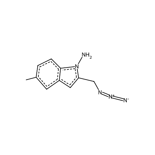 Cc1ccc2c(c1)cc(CN=[N+]=[N-])n2N